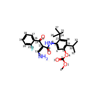 COC(=O)Oc1cc(NC(=O)/C(=C\N)C(=O)c2ccccc2F)c(C(C)(C)C)cc1C(C)C